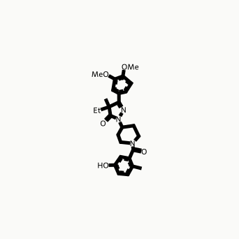 CCC1(C)C(=O)N(C2CCN(C(=O)c3cc(O)ccc3C)CC2)N=C1c1ccc(OC)c(OC)c1